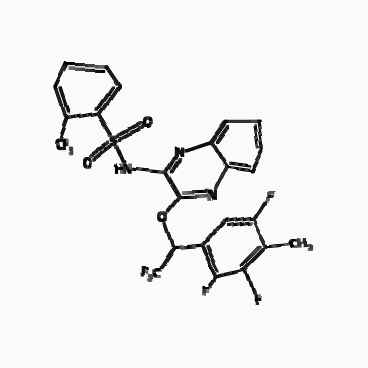 Cc1c(F)cc(C(Oc2nc3ccccc3nc2NS(=O)(=O)c2ccccc2C(F)(F)F)C(F)(F)F)c(F)c1F